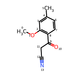 COc1cc(C)ccc1C(=O)CC#N